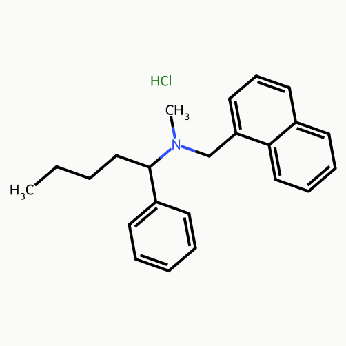 CCCCC(c1ccccc1)N(C)Cc1cccc2ccccc12.Cl